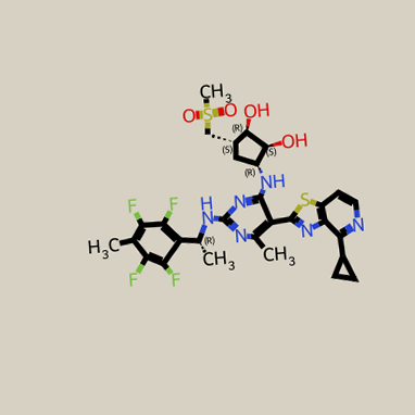 Cc1nc(N[C@H](C)c2c(F)c(F)c(C)c(F)c2F)nc(N[C@@H]2C[C@H](CS(C)(=O)=O)[C@@H](O)[C@H]2O)c1-c1nc2c(C3CC3)nccc2s1